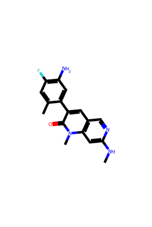 CNc1cc2c(cn1)cc(-c1cc(N)c(F)cc1C)c(=O)n2C